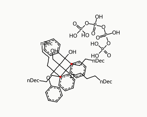 CCCCCCCCCCCCCOC(CCCCCCCCCCCCC)(CCCCCCCCCCCCC)C(CO)(C(CCCCCCCCCCCCC)(Oc1ccccc1)c1ccccc1)C(O)(c1ccccc1)c1ccccc1.O=P(O)(O)OP(=O)(O)OP(=O)(O)OP(=O)(O)O